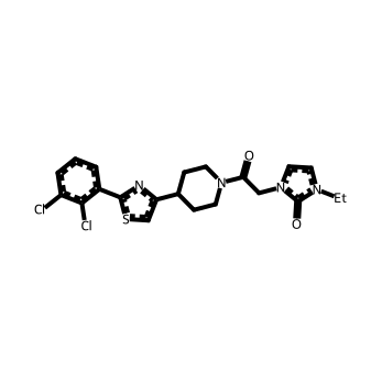 CCn1ccn(CC(=O)N2CCC(c3csc(-c4cccc(Cl)c4Cl)n3)CC2)c1=O